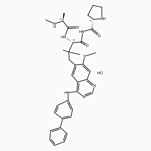 CN[C@@H](C)C(=O)N[C@H](C(=O)NC(=O)[C@@H]1CCCN1)C(C)(C)Cc1cc2c(Nc3ccc(-c4ccccc4)cc3)ncnc2cc1OC.Cl